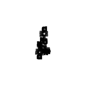 Clc1ccc([C@@H]2COC(c3ncn4c3Cc3cnnn3-c3cc(Cl)ccc3-4)=N2)cc1